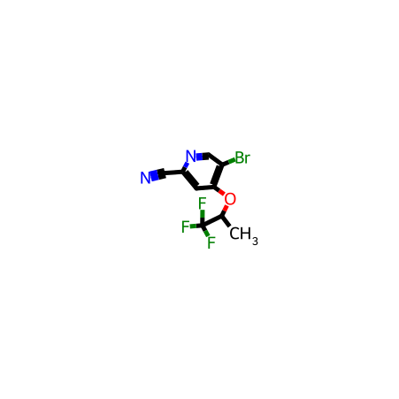 CC(Oc1cc(C#N)ncc1Br)C(F)(F)F